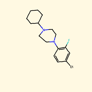 CCc1ccc(N2CCN(C3CCCCC3)CC2)c(F)c1